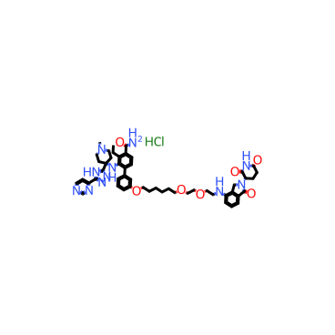 CCc1c(C(N)=O)ccc(-c2cccc(OCCCCCCOCCOCCNc3cccc4c3CN(C3CCC(=O)NC3=O)C4=O)c2)c1NC1(c2nnc(-c3ccncn3)[nH]2)CCN(C)CC1.Cl